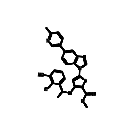 COC(=O)c1sc(-n2cnc3cc(-c4ccc(C)nc4)ccc32)cc1OC(C)c1cccc(O)c1Cl